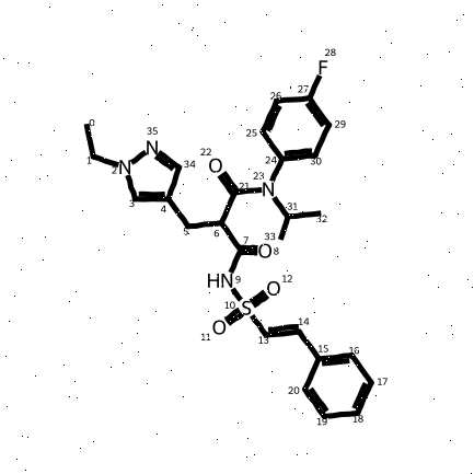 CCn1cc(CC(C(=O)NS(=O)(=O)C=Cc2ccccc2)C(=O)N(c2ccc(F)cc2)C(C)C)cn1